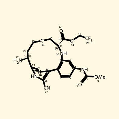 COC(=O)Nc1ccc2c(c1)N[C@@H](C(=O)OCC(F)(F)F)CCCC[C@H](N)c1nc-2c(C#N)[nH]1